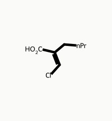 CCCC/C(=C/Cl)C(=O)O